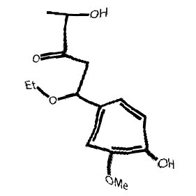 CCOC(CC(=O)C(C)O)c1ccc(O)c(OC)c1